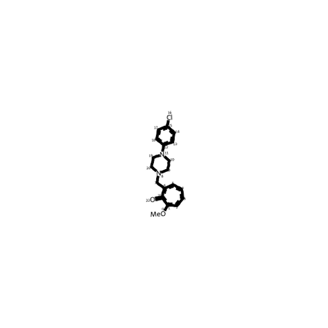 COc1ccccc(CN2CCN(c3ccc(Cl)cc3)CC2)c1=O